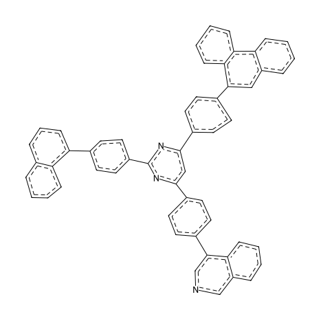 c1ccc2c(-c3ccc(-c4nc(-c5ccc(-c6cncc7ccccc67)cc5)cc(-c5ccc(-c6cc7ccccc7c7ccccc67)cc5)n4)cc3)cccc2c1